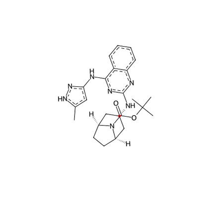 Cc1cc(Nc2nc(N[C@@H]3C[C@H]4CC[C@@H](C3)N4C(=O)OC(C)(C)C)nc3ccccc23)n[nH]1